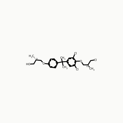 C[C@H](CCl)COc1c(Cl)cc(C(C)(C)c2ccc(OC[C@@H](C)CO)cc2)cc1Cl